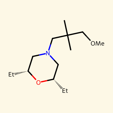 CC[C@@H]1CN(CC(C)(C)COC)C[C@H](CC)O1